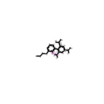 CCCCc1cccc(-c2c(C(C)C)cc(C(C)C)cc2C(C)C)c1P